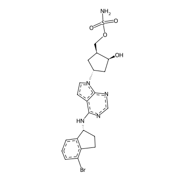 NS(=O)(=O)OC[C@@H]1C[C@@H](n2ccc3c(N[C@@H]4CCc5c(Br)cccc54)ncnc32)C[C@@H]1O